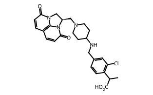 CC(C(=O)O)c1ccc(CNC2CCN(C[C@@H]3Cn4c(=O)ccc5ccc(=O)n3c54)CC2)cc1Cl